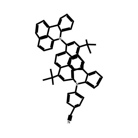 CC(C)(C)c1cc(N(c2ccccc2)c2ccccc2-c2ccccc2)c2ccc3c(C(C)(C)C)cc(N(c4ccc(C#N)cc4)c4ccccc4-c4ccccc4)c4ccc1c2c43